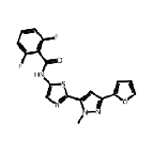 Cn1nc(-c2ccco2)cc1-c1ncc(NC(=O)c2c(F)cccc2F)s1